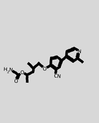 Cc1cc(-c2ccc(OCC(C)CC(C)OC(N)=O)c(C#N)c2)ccn1